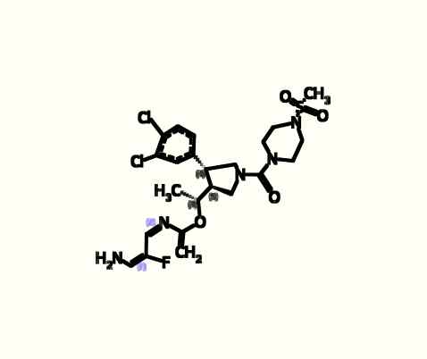 C=C(/N=C\C(F)=C/N)O[C@H](C)[C@@H]1CN(C(=O)N2CCN(S(C)(=O)=O)CC2)C[C@H]1c1ccc(Cl)c(Cl)c1